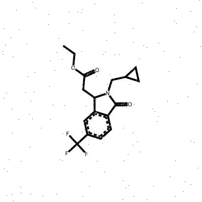 CCOC(=O)CC1c2cc(C(F)(F)F)ccc2C(=O)N1CC1CC1